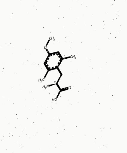 COc1cc(C)c(C[C@H](N)C(=O)O)c(C)c1